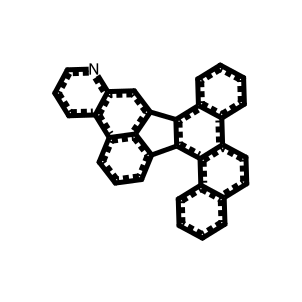 c1ccc2c(c1)ccc1c3ccccc3c3c(c21)-c1cccc2c1c-3cc1ncccc12